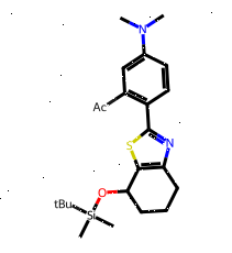 CC(=O)c1cc(N(C)C)ccc1-c1nc2c(s1)C(O[Si](C)(C)C(C)(C)C)CCC2